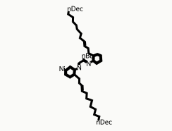 CCCCCCCCCCCCCCCCCC=CCCc1ccccc1N=CC(CCCC)=Nc1ccccc1CCC=CCCCCCCCCCCCCCCCCC.[Ni]